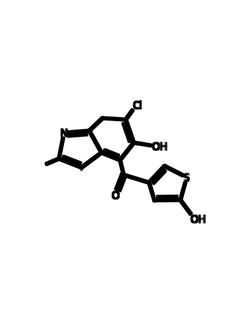 CC1=[C]C2=C(C(=O)c3csc(O)c3)C(O)=C(Cl)CC2=N1